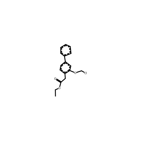 CCOC(=O)Cc1ccc(-c2ccccc2)cc1OCCl